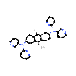 CC(C)(C)c1c2ccc(N(c3cccnc3)c3ccccn3)cc2c(C(C)(C)C)c2ccc(N(c3cccnc3)c3ccccn3)cc12